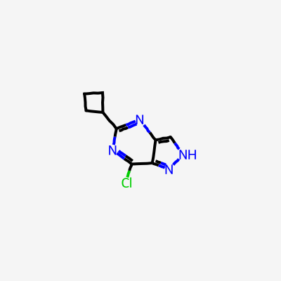 Clc1nc(C2CCC2)nc2c[nH]nc12